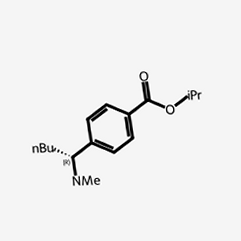 CCCC[C@@H](NC)c1ccc(C(=O)OC(C)C)cc1